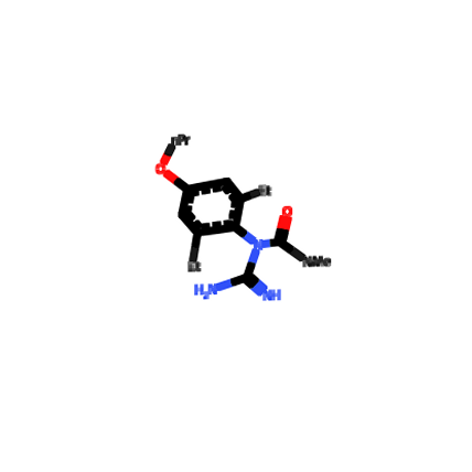 CCCOc1cc(CC)c(N(C(=N)N)C(=O)NC)c(CC)c1